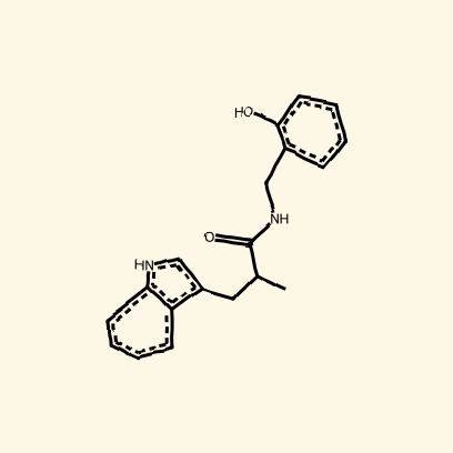 CC(Cc1c[nH]c2ccccc12)C(=O)NCc1ccccc1O